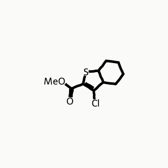 COC(=O)C1=C(Cl)C2CCCCC2S1